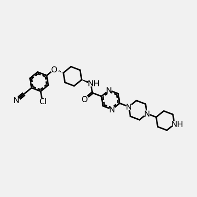 N#Cc1ccc(O[C@H]2CC[C@H](NC(=O)c3cnc(N4CCN(C5CCNCC5)CC4)cn3)CC2)cc1Cl